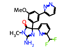 COc1cc(-c2cccnn2)cc(C2(c3cccc(C(F)F)n3)N=C(N)N(C)C2=O)c1